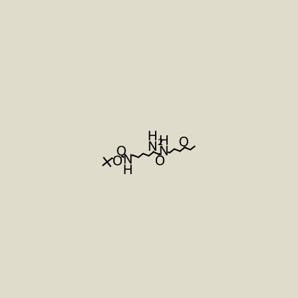 CCC(=O)CCCNC(=O)C(N)CCCCNC(=O)OCC(C)(C)C